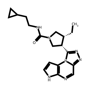 CC[C@H]1CN(C(=O)NCCC2CC2)C[C@H]1c1nnc2cnc3[nH]ccc3n12